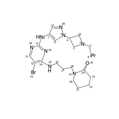 CC(C)CN1CC(n2cc(Nc3ncc(Br)c(NCCCN4CCCCC4=O)n3)cn2)C1